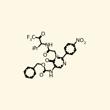 CC(C)C(NC(=O)Cn1c(-c2ccc([N+](=O)[O-])cc2)ncc(NC(=O)OCc2ccccc2)c1=O)C(=O)C(F)(F)F